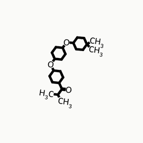 CC(C)C(=O)C1CCC(OC2CCC(OC3CCC(C)(C)CC3)CC2)CC1